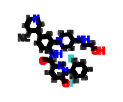 N#Cc1ccncc1-c1ccc(NC(=O)c2ccc(=O)n(-c3c(F)cccc3F)n2)c(N2CCC(NCCO)CC2)c1